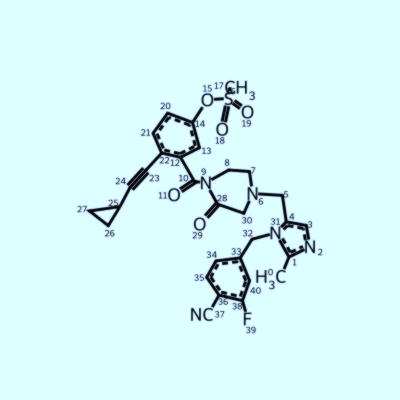 Cc1ncc(CN2CCN(C(=O)c3cc(OS(C)(=O)=O)ccc3C#CC3CC3)C(=O)C2)n1Cc1ccc(C#N)c(F)c1